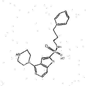 Cl.O=S(=O)(NCCCc1ccccc1)c1cc2c(N3CCNCC3)nccc2s1